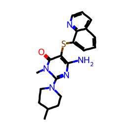 CC1CCN(c2nc(N)c(Sc3cccc4cccnc34)c(=O)n2C)CC1